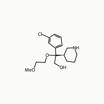 COCCOC(CO)(c1cccc(Cl)c1)[C@@H]1CCCNC1